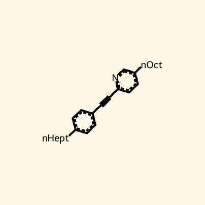 CCCCCCCCc1ccc(C#Cc2ccc(CCCCCCC)cc2)nc1